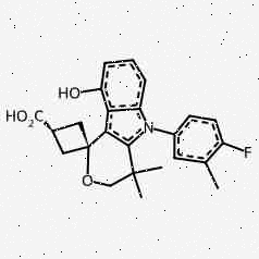 Cc1cc(-n2c3c(c4c(O)cccc42)[C@]2(C[C@H](C(=O)O)C2)OCC3(C)C)ccc1F